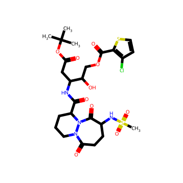 CC(C)(C)OC(=O)CC(NC(=O)C1CCCN2C(=O)CCC(NS(C)(=O)=O)C(=O)N12)C(O)COC(=O)c1sccc1Cl